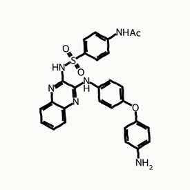 CC(=O)Nc1ccc(S(=O)(=O)Nc2nc3ccccc3nc2Nc2ccc(Oc3ccc(N)cc3)cc2)cc1